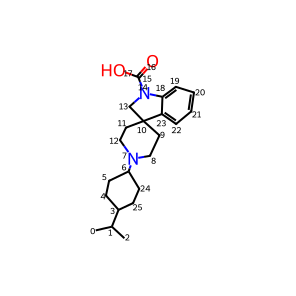 CC(C)C1CCC(N2CCC3(CC2)CN(C(=O)O)c2ccccc23)CC1